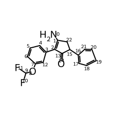 NC1=C(c2cccc(OC(F)F)c2)C(=O)C(c2ccccc2)C1